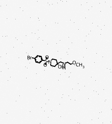 COCCNCC1(O)CCN(S(=O)(=O)c2ccc(Br)cc2)CC1